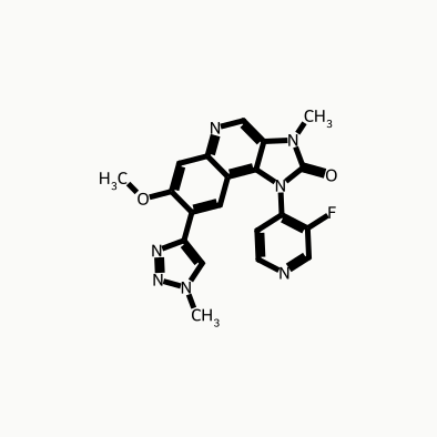 COc1cc2ncc3c(c2cc1-c1cn(C)nn1)n(-c1ccncc1F)c(=O)n3C